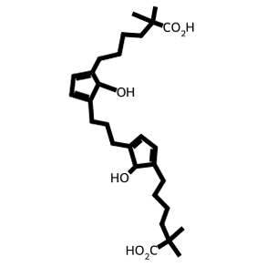 CC(C)(CCCCC1=CC=C(CCCC2=CC=C(CCCCC(C)(C)C(=O)O)C2O)C1O)C(=O)O